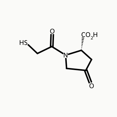 O=C1C[C@@H](C(=O)O)N(C(=O)CS)C1